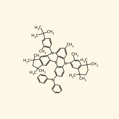 Cc1cc2c3c(c1)N(c1ccc(C(C)(C)C)cc1C)c1cc4c(cc1B3c1cc(N(c3ccccc3)c3ccccc3)ccc1N2c1cc2c(cc1C)C(C)(C)CCC2(C)C)C(C)(C)CC4(C)C